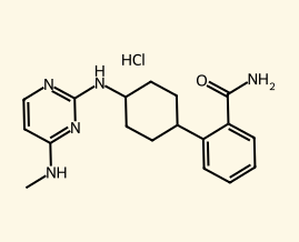 CNc1ccnc(NC2CCC(c3ccccc3C(N)=O)CC2)n1.Cl